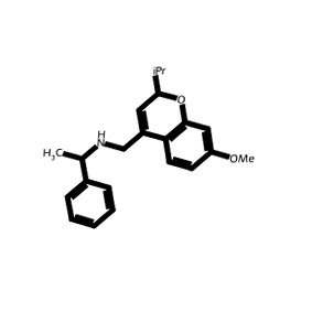 COc1ccc2c(c1)OC(C(C)C)C=C2CNC(C)c1ccccc1